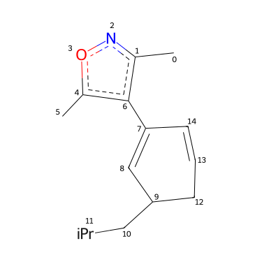 Cc1noc(C)c1C1=CC(CC(C)C)CC=C1